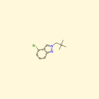 C[Si](C)(C)Cn1cc2c(Br)cccc2n1